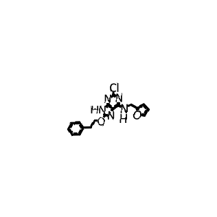 Clc1nc(NCc2ccco2)c2nc(OCCc3ccccc3)[nH]c2n1